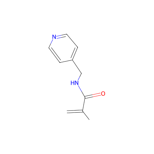 C=C(C)C(=O)NCc1ccncc1